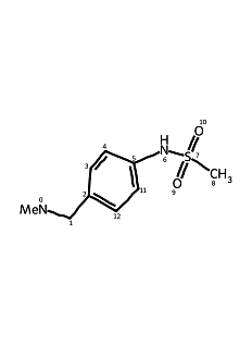 CNCc1ccc(NS(C)(=O)=O)cc1